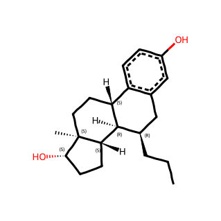 CCC[C@@H]1Cc2cc(O)ccc2[C@H]2CC[C@]3(C)[C@@H](O)CC[C@H]3[C@H]12